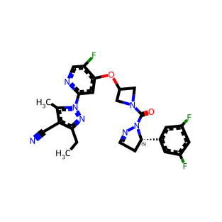 CCc1nn(-c2cc(OC3CN(C(=O)N4N=CC[C@H]4c4cc(F)cc(F)c4)C3)c(F)cn2)c(C)c1C#N